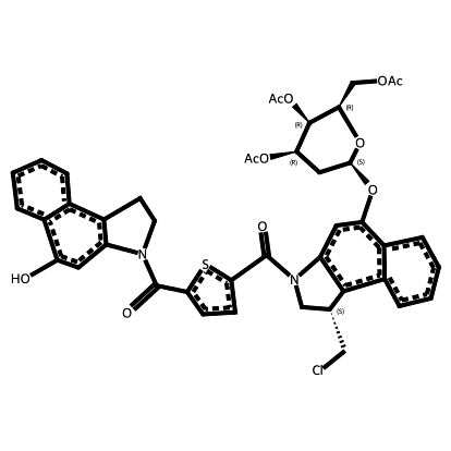 CC(=O)OC[C@H]1O[C@@H](Oc2cc3c(c4ccccc24)[C@H](CCl)CN3C(=O)c2ccc(C(=O)N3CCc4c3cc(O)c3ccccc43)s2)C[C@@H](OC(C)=O)[C@H]1OC(C)=O